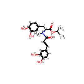 CC(C)OC(=O)[C@H](Cc1ccc(O)c(O)c1)N(C)C(=O)C=Cc1ccc(O)c(O)c1